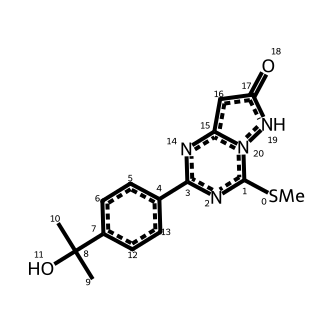 CSc1nc(-c2ccc(C(C)(C)O)cc2)nc2cc(=O)[nH]n12